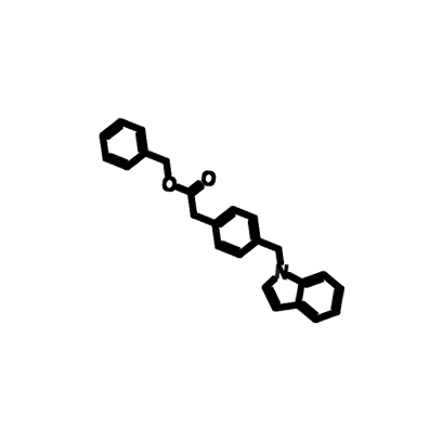 O=C(Cc1ccc(Cn2ccc3ccccc32)cc1)OCc1ccccc1